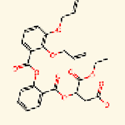 C=CCOc1cccc(C(=O)Oc2ccccc2C(=O)OC(CC(=O)O)C(=O)OCC)c1OCC=C